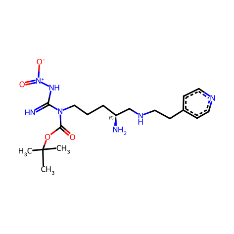 CC(C)(C)OC(=O)N(CCC[C@H](N)CNCCc1ccncc1)C(=N)N[N+](=O)[O-]